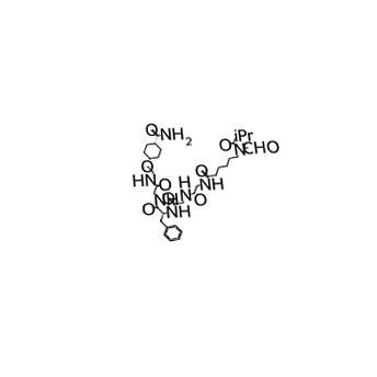 CC(C)C(=O)N(C=O)CCCCCC(=O)NCC(=O)NCC(=O)N[C@@H](Cc1ccccc1)C(=O)NCC(=O)NCO[C@H]1CC[C@@H](C(N)=O)CC1